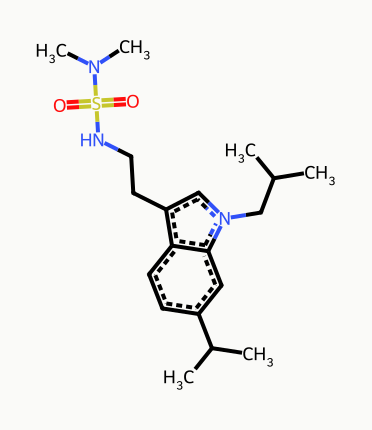 CC(C)Cn1cc(CCNS(=O)(=O)N(C)C)c2ccc(C(C)C)cc21